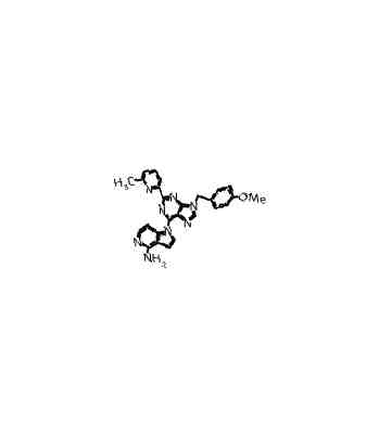 COc1ccc(Cn2cnc3c(-n4ccc5c(N)nccc54)nc(-c4cccc(C)n4)nc32)cc1